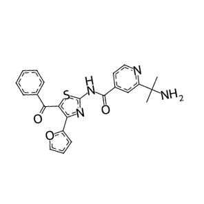 CC(C)(N)c1cc(C(=O)Nc2nc(-c3ccco3)c(C(=O)c3ccccc3)s2)ccn1